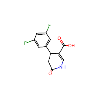 O=C1CC(c2cc(F)cc(F)c2)C(C(=O)O)=CN1